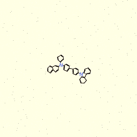 C1=Cc2c(c3ccccc3n2-c2ccc(-c3ccc(N(c4ccccc4)c4ccc5ccccc5c4)cc3)cc2)CC1